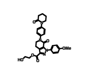 COc1ccc(-n2nc(C(=O)OCCO)c3c2C(=O)N(c2ccc(N4CCCCC4=O)cc2)CC3)cc1